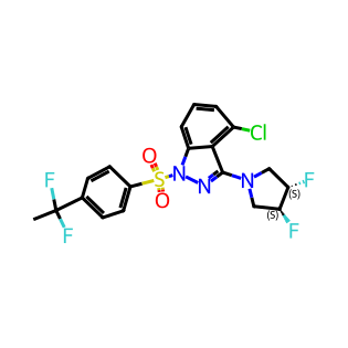 CC(F)(F)c1ccc(S(=O)(=O)n2nc(N3C[C@H](F)[C@@H](F)C3)c3c(Cl)cccc32)cc1